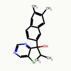 Cc1cc2ccc(C(O)(c3ncncc3Br)C(C)C)cc2cc1C